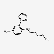 COCCCNc1ccc(N)cc1-c1ccc[nH]1